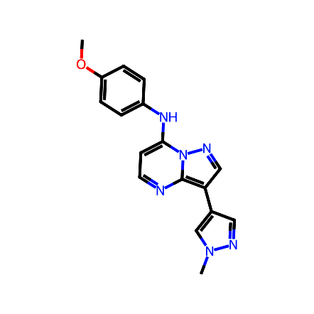 COc1ccc(Nc2ccnc3c(-c4cnn(C)c4)cnn23)cc1